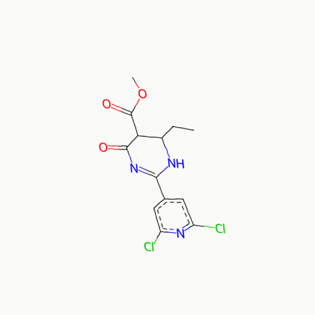 CCC1NC(c2cc(Cl)nc(Cl)c2)=NC(=O)C1C(=O)OC